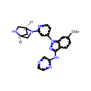 CSc1ccc2c(Nc3cnccn3)nn(-c3ccnc(N4C[C@@H]5C[C@H]4CN5)c3)c2c1